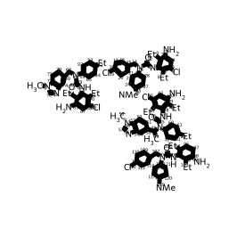 CCc1c(N)cc(Cl)c(CC)c1NC(=O)N(Cc1ccc(Cl)cc1)c1ccc(NC)cc1.CCc1ccc(N(C(=O)Nc2c(CC)c(N)cc(Cl)c2CC)C(C)c2ccc3c(c2)ncn3C)cc1.CCc1ccc(N(Cc2ccc3c(c2)ncn3C)C(=O)Nc2c(CC)c(N)cc(Cl)c2CC)cc1.CCc1ccc(N)c(CC)c1NC(=O)N(Cc1ccc(Cl)cc1)c1ccc(NC)cc1